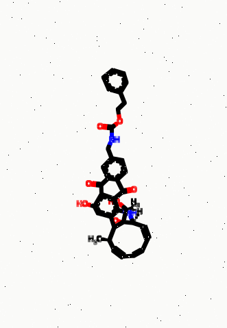 C[C@@H]1C#C/C=C\C#C[C@@H]2Nc3c(cc(O)c4c3C(=O)c3ccc(CNC(=O)OCCc5ccccc5)cc3C4=O)[C@]13O[C@@]23[C@@H](C)O